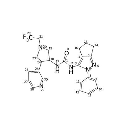 O=C(Nc1c2c(nn1-c1ccccc1)CCC2)NC1CN(CC(F)(F)F)CC1c1cccnc1